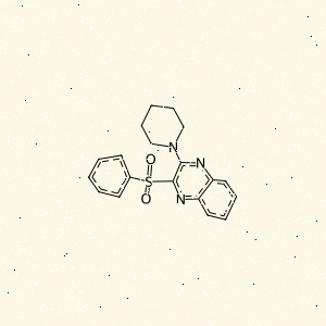 O=S(=O)(c1ccccc1)c1nc2ccccc2nc1N1CCCCC1